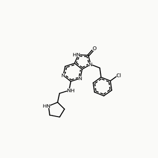 O=c1[nH]c2cnc(NCC3CCCN3)nc2n1Cc1ccccc1Cl